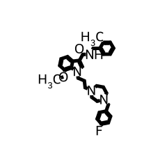 COc1cccc2c(C(=O)NCc3ccccc3C)cn(CCCN3CCCN(Cc4ccc(F)cc4)CC3)c12